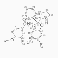 COC1C=CC(C(N)=O)=C(c2c(Cl)c(F)cc3c2C[C@](c2ccccc2)([C@@H]2CCCN2)O3)C1F